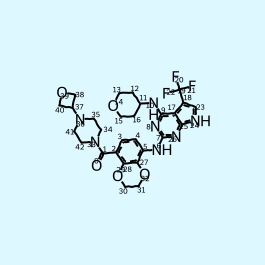 O=C(c1ccc(Nc2nc(NC3CCOCC3)c3c(C(F)(F)F)c[nH]c3n2)c2c1OCCO2)N1CCN(C2COC2)CC1